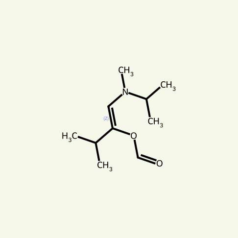 CC(C)/C(=C/N(C)C(C)C)OC=O